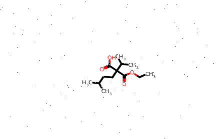 CCOC(=O)C(CCC(C)C)(C(=O)O)C(C)C